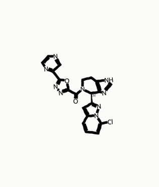 O=C(c1nnc(-c2cnccn2)o1)N1CCc2[nH]cnc2[C@H]1c1cc2cccc(Cl)n2n1